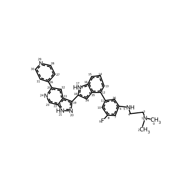 CN(C)CCNc1cc(F)cc(-c2cccc3[nH]c(-c4n[nH]c5cnc(-c6ccncc6)cc45)cc23)c1